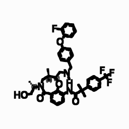 C[C@@H]1CN([C@@H](C)CO)C(=O)c2cccc(NC(=O)C(C)(C)c3ccc(C(F)(F)F)cc3)c2O[C@@H]1CN(C)Cc1ccc(Oc2ccccc2F)cc1